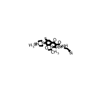 C[C@H]1COc2c(N3CCN(C)CC3)c(F)cc3c(=O)c(C(=O)NNCCC#N)cn1c23